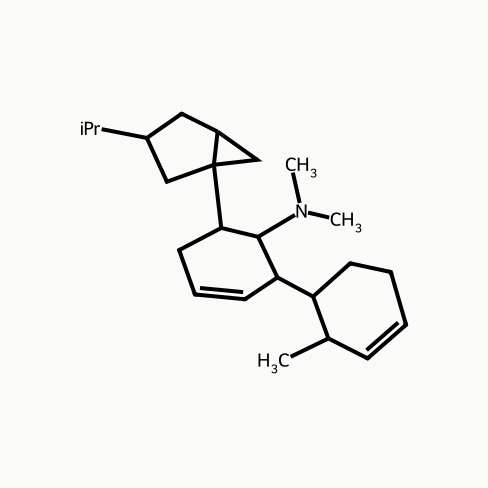 CC(C)C1CC2CC2(C2CC=CC(C3CCC=CC3C)C2N(C)C)C1